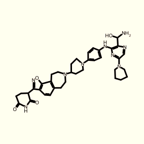 NC(O)c1ncc(N2CCCCC2)nc1Nc1ccc(N2CCC(N3CCc4ccc5c(C6CCC(=O)NC6=O)noc5c4CC3)CC2)cc1